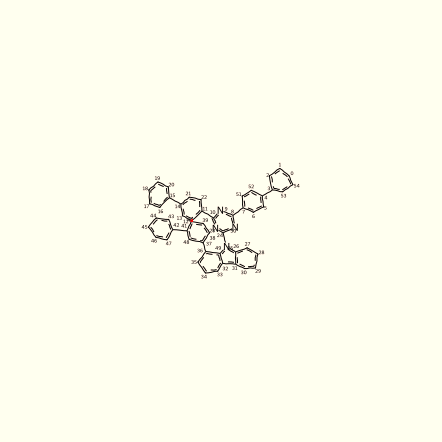 c1ccc(-c2ccc(-c3nc(-c4ccc(-c5ccccc5)cc4)nc(-n4c5ccccc5c5cccc(-c6cccc(-c7ccccc7)c6)c54)n3)cc2)cc1